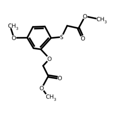 COC(=O)COc1cc(OC)ccc1SCC(=O)OC